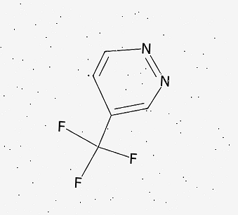 FC(F)(F)c1[c]cnnc1